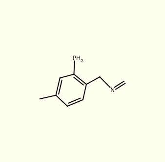 C=NCc1ccc(C)cc1P